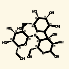 OC[C@H]1O[C@@H](O[C@@H]2[C@@H](CO)OC(O)[C@H](O)[C@]2(O)C2O[C@H](CO)[C@H](O)[C@H](O)[C@H]2O)[C@H](O)[C@@H](O)[C@H]1O